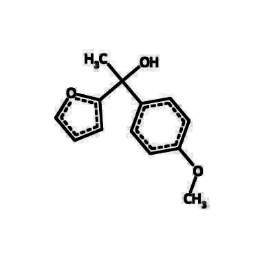 COc1ccc(C(C)(O)c2ccco2)cc1